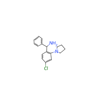 NC(c1ccccc1)c1ccc(Cl)cc1N1CCCC1